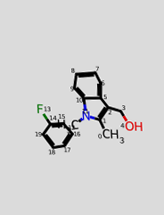 Cc1c(CO)c2ccccc2n1C.Fc1ccccc1